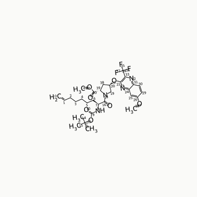 C=CCCCCC[C@H](NC(=O)OC(C)(C)C)C(=O)N1C[C@H](Oc2nc3cc(OC)ccc3nc2C(F)(F)F)C[C@H]1C(=O)OC